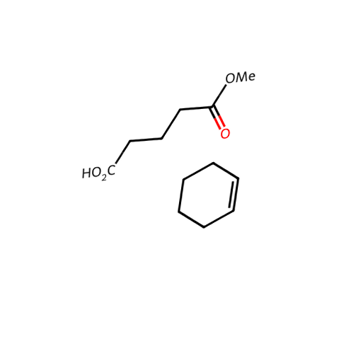 C1=CCCCC1.COC(=O)CCCC(=O)O